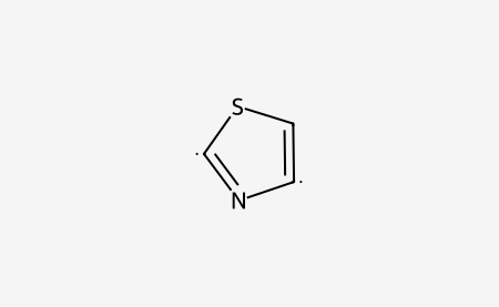 [c]1cs[c]n1